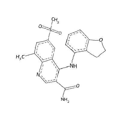 Cc1cc(S(C)(=O)=O)cc2c(Nc3cccc4c3CCO4)c(C(N)=O)cnc12